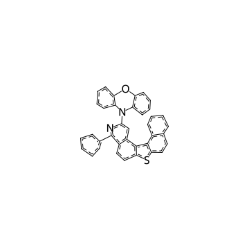 c1ccc(-c2nc(N3c4ccccc4Oc4ccccc43)cc3c2ccc2sc4ccc5ccccc5c4c23)cc1